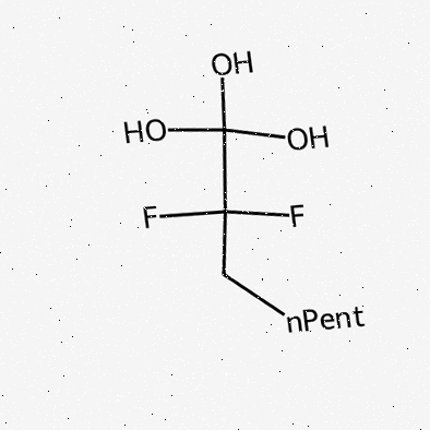 CCCCCCC(F)(F)C(O)(O)O